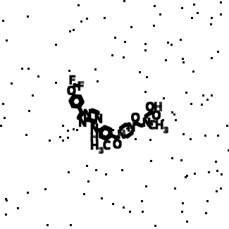 Cc1cc(Nc2nccn3c(-c4ccc(OC(F)F)cc4)cnc23)ccc1C(=O)N1CCN(C(=O)CN(C)CC(=O)O)CC1